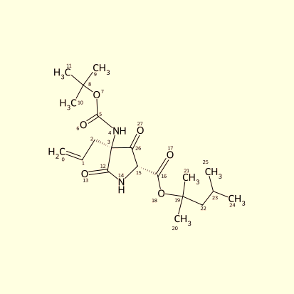 C=CC[C@@]1(NC(=O)OC(C)(C)C)C(=O)N[C@@H](C(=O)OC(C)(C)CC(C)C)C1=O